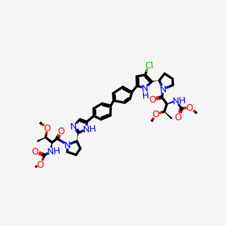 COC(=O)N[C@H](C(=O)N1CCC[C@H]1c1ncc(-c2ccc(-c3ccc(-c4cc(Cl)c([C@@H]5CCCN5C(=O)[C@@H](NC(=O)OC)[C@@H](C)OC)[nH]4)cc3)cc2)[nH]1)[C@@H](C)OC